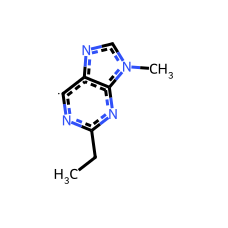 CCc1n[c]c2ncn(C)c2n1